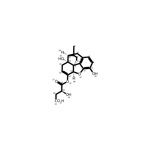 CC1CC[C@]23c4c5ccc(O)c4O[C@H]2C(OC(=O)[C@@H](O)CC(=O)O)=CC[C@@]3(O)[C@H]1C5